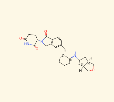 O=C1CCC(N2Cc3cc(C[C@H]4CCCC[C@@H]4NC4C[C@H]5COC[C@H]5C4)ccc3C2=O)C(=O)N1